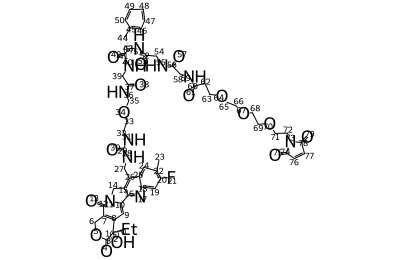 CC[C@@]1(O)C(=O)OCc2c1cc1n(c2=O)Cc2c-1nc1cc(F)c(C)cc1c2CNC(=O)NCCOCNC(=O)CNC(=O)[C@H](Cc1ccccc1)NC(=O)CNC(=O)CNC(=O)CCOCCOCCOCCN1C(=O)C=CC1=O